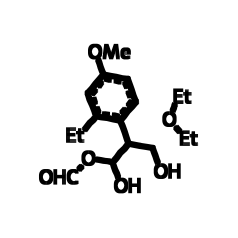 CCOCC.CCc1cc(OC)ccc1C(CO)C(O)OC=O